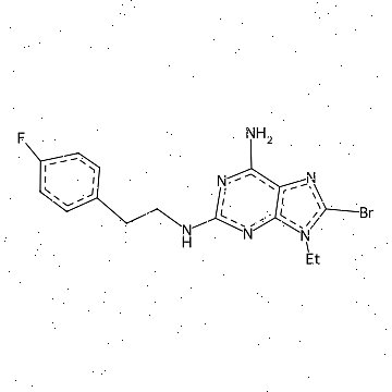 CCn1c(Br)nc2c(N)nc(NCCc3ccc(F)cc3)nc21